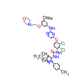 COc1cc(Nc2nccc(Oc3ccc(NC(=O)Nc4cc(S(C)(C)C)nn4-c4ccc(C)cc4)c(Cl)c3Cl)n2)cc(OCCN2CCOCC2)c1